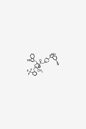 CC(=O)N(Cc1ccccc1C(F)(F)F)C[C@@H](Cc1c[nH]c2ccccc12)NC(=O)CN1CC=C(c2c[nH]c3ccc(C#N)cc23)CC1